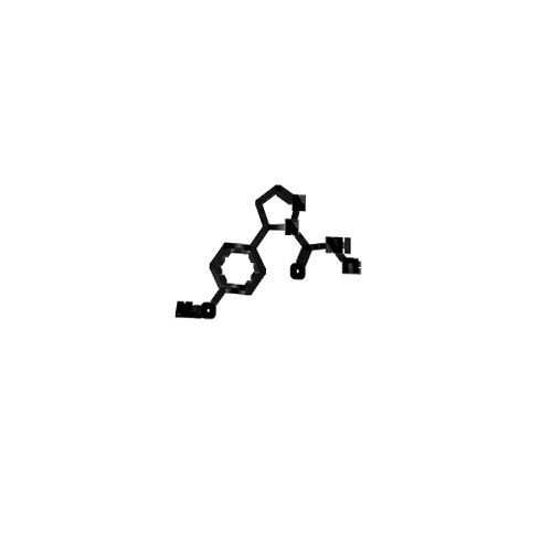 CCNC(=O)N1N=CCC1c1ccc(OC)cc1